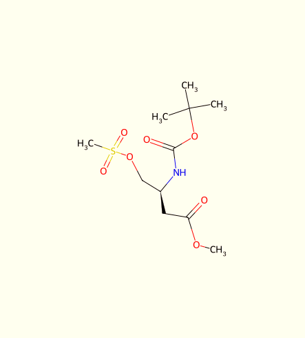 COC(=O)C[C@@H](COS(C)(=O)=O)NC(=O)OC(C)(C)C